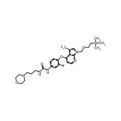 C[Si](C)(C)CCOCn1cc(C(F)(F)F)c2c(Oc3ccc(NC(=O)NCCCN4CCOCC4)cc3F)ccnc21